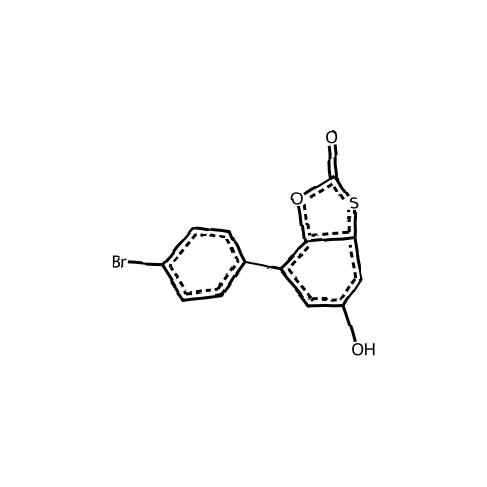 O=c1oc2c(-c3ccc(Br)cc3)cc(O)cc2s1